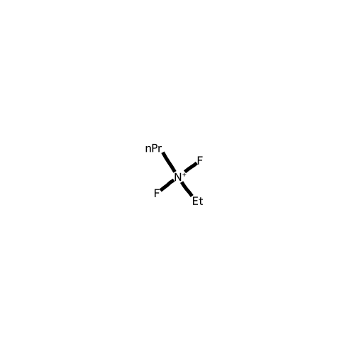 CCC[N+](F)(F)CC